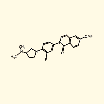 COc1ccc2c(=O)n(-c3ccc(N4CCC(N(C)C)C4)c(F)c3)ccc2c1